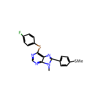 CSc1ccc(-c2nc3c(Sc4ccc(F)cc4)ncnc3n2C)cc1